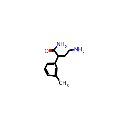 Cc1cccc(C(CCN)C(N)=O)c1